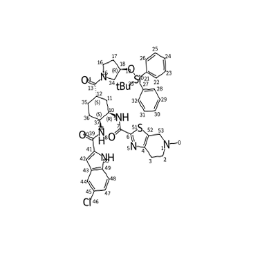 CN1CCc2nc(C(=O)N[C@@H]3C[C@@H](C(=O)N4CC[C@@H](O[Si](c5ccccc5)(c5ccccc5)C(C)(C)C)C4)CC[C@@H]3NC(=O)c3cc4cc(Cl)ccc4[nH]3)sc2C1